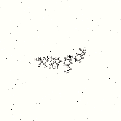 CC1(C)C[C@@](O)(c2ncc(-c3cc(CO)cc(Nc4nccc(C(F)(F)F)n4)c3)s2)CC[C@@H]1C(N)=O